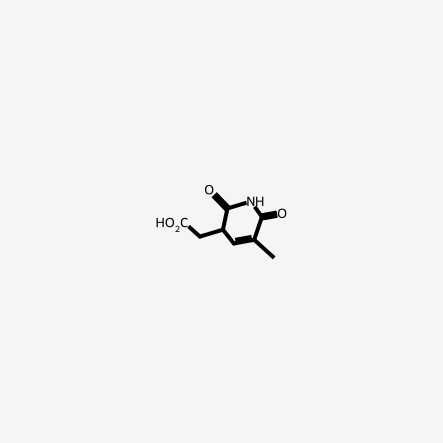 CC1=CC(CC(=O)O)C(=O)NC1=O